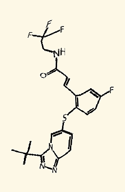 CC(C)(C)c1nnc2ccc(Sc3ccc(F)cc3C=CC(=O)NCC(F)(F)F)cn12